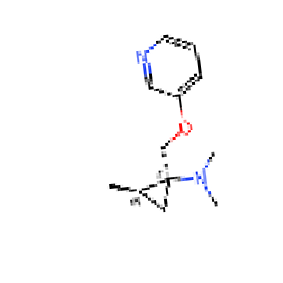 C[C@@H]1C[C@]1(COc1cccnc1)N(C)C